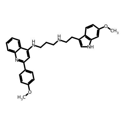 COc1ccc(-c2cc(NCCCNCCc3c[nH]c4cc(OC)ccc34)c3ccccc3n2)cc1